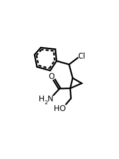 NC(=O)C1(CO)CC1C(Cl)c1ccccc1